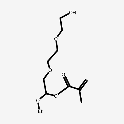 C=C(C)C(=O)OC(COCCOCCO)OCC